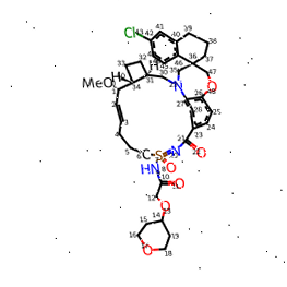 CO[C@H]1/C=C/CCCS(=O)(NC(=O)COC2CCOCC2)=NC(=O)c2ccc3c(c2)N(C[C@@H]2CC[C@H]21)C[C@@]1(CCCc2cc(Cl)ccc21)CO3